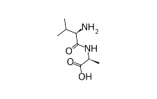 CC(C)[C@@H](N)C(=O)N[C@@H](C)C(=O)O